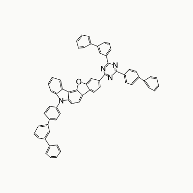 c1ccc(-c2ccc(-c3nc(-c4cccc(-c5ccccc5)c4)nc(-c4ccc5c(c4)oc4c5ccc5c4c4ccccc4n5-c4ccc(-c5cccc(-c6ccccc6)c5)cc4)n3)cc2)cc1